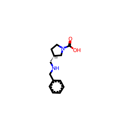 O=C(O)N1CC[C@@H](CNCc2ccccc2)C1